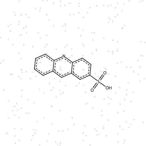 O=S(=O)(O)c1ccc2nc3ccccc3cc2c1